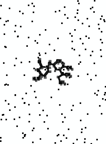 C=C(CC(SC)C(=C)CN)On1ccc(N)nc1=O